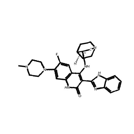 CN1CCN(c2cc3[nH]c(=O)c(-c4nc5ccccc5[nH]4)c(N[C@@H]4CN5CCC4CC5)c3cc2F)CC1